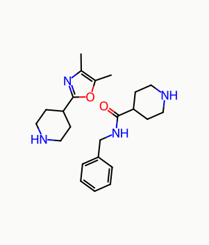 Cc1nc(C2CCNCC2)oc1C.O=C(NCc1ccccc1)C1CCNCC1